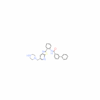 O=C(Nc1ccccc1-c1nc2cc(CN3CCNCC3)cnc2s1)c1cccc(-c2ccccc2)c1